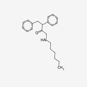 CCCCC[CH2][AlH][CH2]C(=O)C(Cc1ccccc1)c1ccccc1